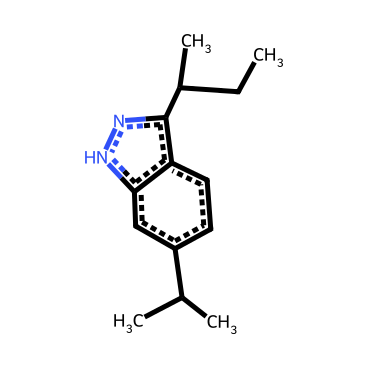 CCC(C)c1n[nH]c2cc(C(C)C)ccc12